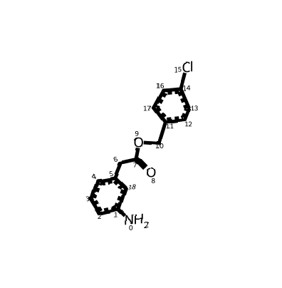 Nc1cccc(CC(=O)OCc2ccc(Cl)cc2)c1